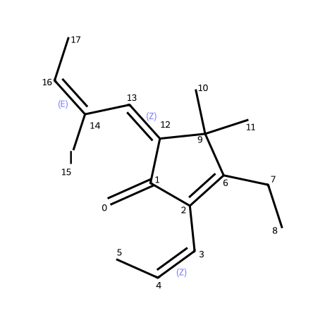 C=C1C(/C=C\C)=C(CC)C(C)(C)/C1=C/C(I)=C\C